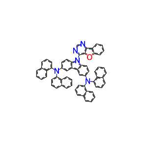 c1ccc2c(N(c3ccc4c(c3)c3cc(N(c5cccc6ccccc56)c5cccc6ccccc56)ccc3n4-c3ncnc4c3oc3ccccc34)c3cccc4ccccc34)cccc2c1